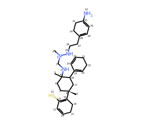 CN(CNC1(C)CC[C@@](C)(C2=C(S)C=CCC2)CC1C1=CCCC=C1)NCCC1=CC=C(N)CC1